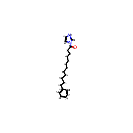 O=C(CCCCCCCCCCCc1ccccc1)n1ccnc1